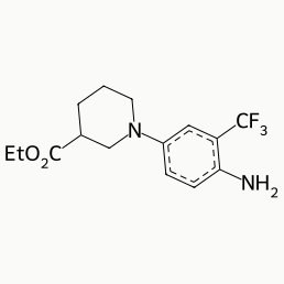 CCOC(=O)C1CCCN(c2ccc(N)c(C(F)(F)F)c2)C1